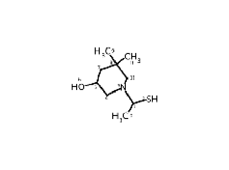 CC(S)N1CC(O)CC(C)(C)C1